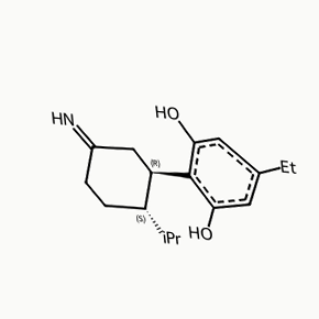 CCc1cc(O)c([C@@H]2CC(=N)CC[C@H]2C(C)C)c(O)c1